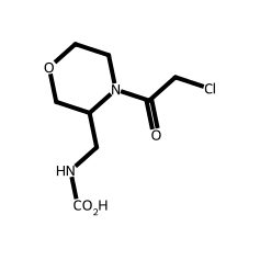 O=C(O)NCC1COCCN1C(=O)CCl